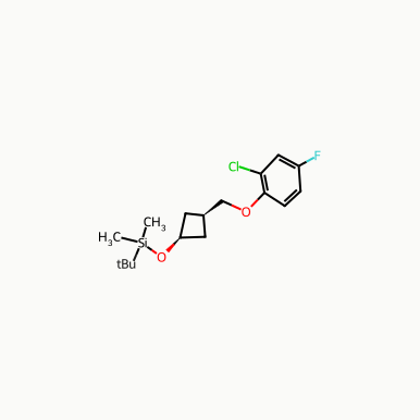 CC(C)(C)[Si](C)(C)O[C@H]1C[C@@H](COc2ccc(F)cc2Cl)C1